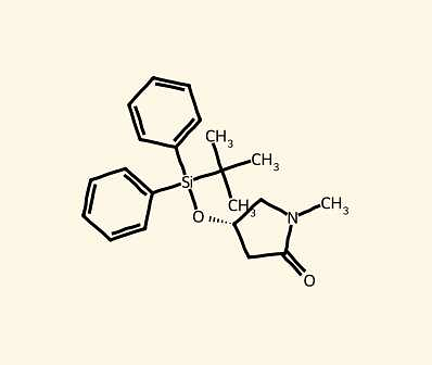 CN1C[C@@H](O[Si](c2ccccc2)(c2ccccc2)C(C)(C)C)CC1=O